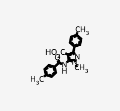 Cc1ccc(C(=O)Nc2c(C(=O)O)c(-c3ccc(C)cc3)nn2C)cc1